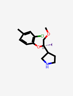 COC[C@](I)(Oc1ccc(C)cc1Cl)C1CCNC1